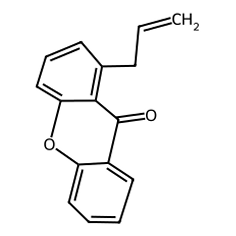 C=CCc1cccc2oc3ccccc3c(=O)c12